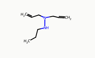 C=CCN(CC=C)NCCC